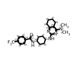 CN(C)c1nc(N[C@H]2CC[C@@H](NC(=O)c3ccc(C(F)(F)F)cc3)CC2)nc2c1CCCC2